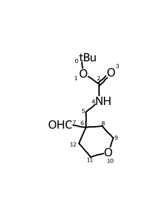 CC(C)(C)OC(=O)NCC1(C=O)CCOCC1